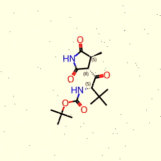 C[C@@H]1C(=O)NC(=O)[C@H]1C(=O)[C@@H](NC(=O)OC(C)(C)C)C(C)(C)C